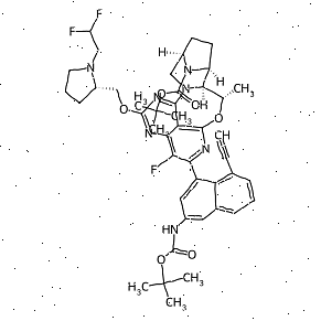 C#Cc1cccc2cc(NC(=O)OC(C)(C)C)cc(-c3nc4c5c(nc(OC[C@@H]6CCCN6CC(F)F)nc5c3F)N3C[C@H]5CC[C@@H]([C@H]3[C@H](C)O4)N5C(=O)OC(C)(C)C)c12